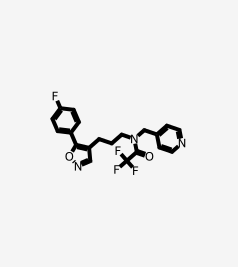 O=C(N(CCCc1cnoc1-c1ccc(F)cc1)Cc1ccncc1)C(F)(F)F